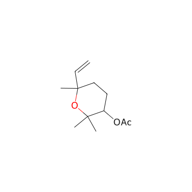 C=CC1(C)CCC(OC(C)=O)C(C)(C)O1